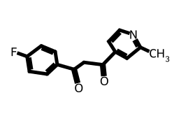 Cc1cc(C(=O)CC(=O)c2ccc(F)cc2)ccn1